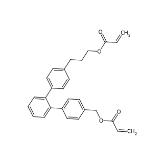 C=CC(=O)OCCCc1ccc(-c2ccccc2-c2ccc(COC(=O)C=C)cc2)cc1